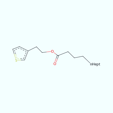 CCCCCCCCCCC(=O)OCCc1ccsc1